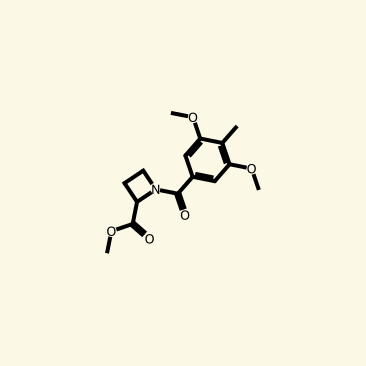 COC(=O)C1CCN1C(=O)c1cc(OC)c(C)c(OC)c1